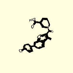 Cc1c(C(=O)N2CCCC(C(=O)O)C2)oc2cc(-c3ccc(Cl)cc3)ccc12